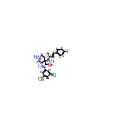 O=C(/C=C/c1ccc(F)cc1)NC1(C(=O)Nc2cc(Cl)cc(Cl)c2)CCNCC1